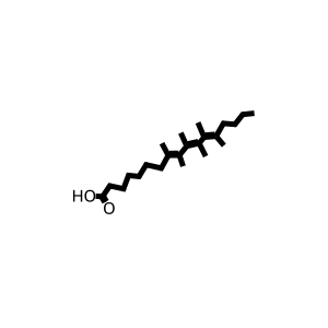 CCCC/C(C)=C(C)/C(C)=C(C)/C(C)=C(\C)CCCCCCC(=O)O